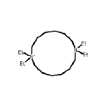 CC[N+]1(CC)CCCCCC[N+](CC)(CC)CCCCCC1